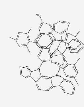 Cc1cc(C)c(B2C3=CCC(C)C=C3N3c4ccc(C(C)(C)C)cc4B(c4c(C)cc(C)cc4C)c4cc(-n5c6ccccc6c6ccc7c8ccccc8n(-c8ccc([Si](c9ccccc9)(c9ccccc9)c9ccccc9)cc8)c7c65)cc2c43)c(C)c1